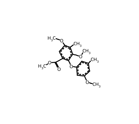 COC(=O)c1cc(OC)c(C)c(OC)c1Oc1cc(C)cc(OC)c1